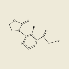 O=C(CBr)c1ccnc(N2CCOC2=O)c1F